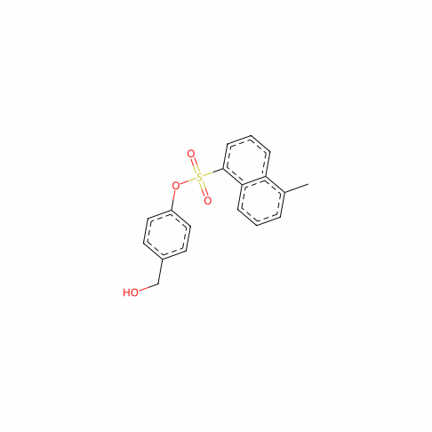 Cc1cccc2c(S(=O)(=O)Oc3ccc(CO)cc3)cccc12